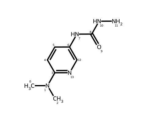 CN(C)c1ccc(NC(=O)NN)cn1